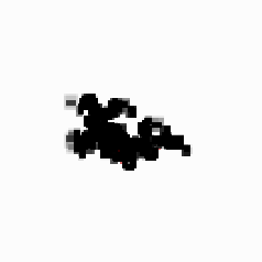 COc1ccc(C(OCc2cc(COc3ncnc4c3ncn4[C@H]3C[C@H](O[Si](C)(C)C(C)(C)C)[C@@H](COC(c4ccccc4)(c4ccc(OC)cc4)c4ccc(OC)cc4)O3)cc(O[Si](c3ccccc3)(c3ccccc3)C(C)(C)C)c2)(c2ccccc2)c2ccc(OC)cc2)cc1